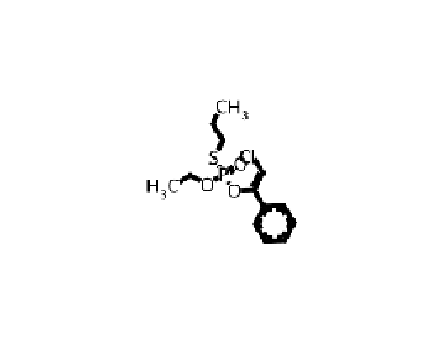 CCCSP(=O)(OCC)OC(=CCl)c1ccccc1